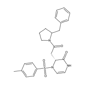 Cc1ccc(S(=O)(=O)N2C=CNC(=O)[C@H]2CC(=O)N2CCCC2Cc2ccccc2)cc1